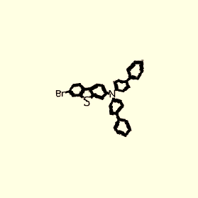 Brc1ccc2c(c1)sc1cc(N(c3ccc(-c4ccccc4)cc3)c3ccc(-c4ccccc4)cc3)ccc12